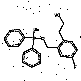 CC(C)(C)[Si](OCc1cc(F)ccc1CCO)(c1ccccc1)c1ccccc1